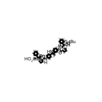 CC(C)(C)OC(=O)NC(C(=O)N1CCC[C@H]1C(=O)Nc1ccc2[nH]c(-c3ccc(NC(=O)[C@@H]4CCCN4C(=O)C(NC(=O)O)c4ccccc4)cc3)c(F)c2c1)c1ccccc1